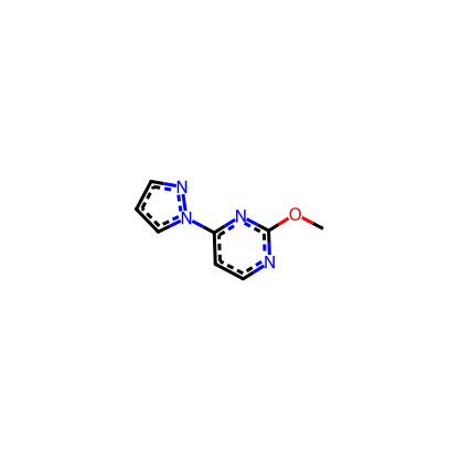 COc1nccc(-n2cccn2)n1